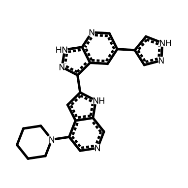 c1n[nH]cc1-c1cnc2[nH]nc(-c3cc4c(N5CCCCC5)cncc4[nH]3)c2c1